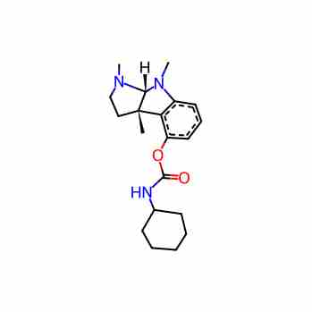 CN1CC[C@@]2(C)c3c(OC(=O)NC4CCCCC4)cccc3N(C)[C@@H]12